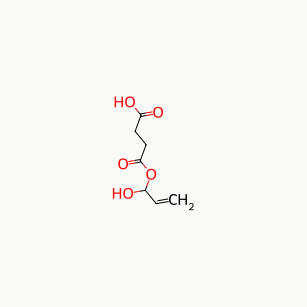 C=CC(O)OC(=O)CCC(=O)O